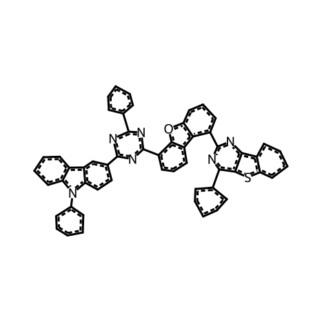 c1ccc(-c2nc(-c3ccc4c(c3)c3ccccc3n4-c3ccccc3)nc(-c3cccc4c3oc3cccc(-c5nc(-c6ccccc6)c6sc7ccccc7c6n5)c34)n2)cc1